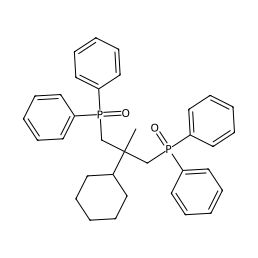 CC(CP(=O)(c1ccccc1)c1ccccc1)(CP(=O)(c1ccccc1)c1ccccc1)C1CCCCC1